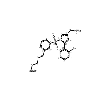 CNCCCOc1cccc(S(=O)(=O)n2cc(CNC)cc2-c2ccccc2F)c1